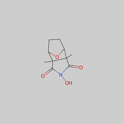 CC12C(=O)N(O)C(=O)C1(C)C1CCC2O1